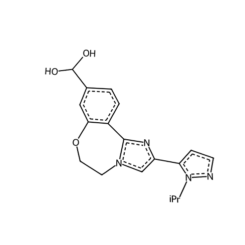 CC(C)n1nccc1-c1cn2c(n1)-c1ccc(C(O)O)cc1OCC2